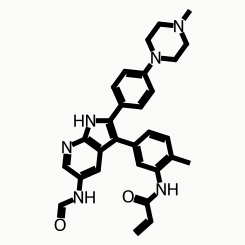 C=CC(=O)Nc1cc(-c2c(-c3ccc(N4CCN(C)CC4)cc3)[nH]c3ncc(NC=O)cc23)ccc1C